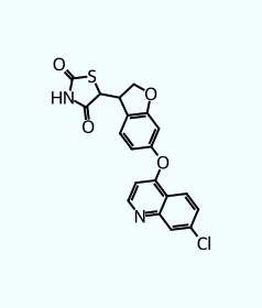 O=C1NC(=O)C(C2COc3cc(Oc4ccnc5cc(Cl)ccc45)ccc32)S1